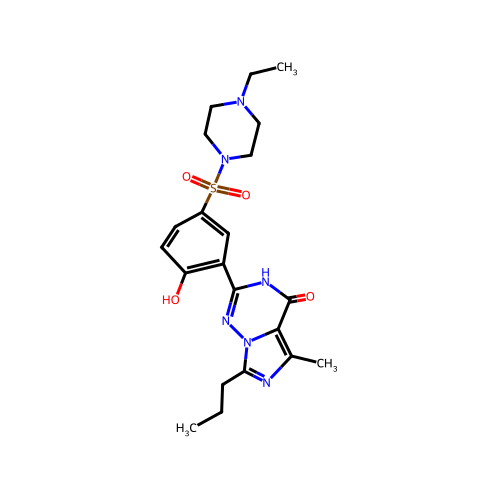 CCCc1nc(C)c2c(=O)[nH]c(-c3cc(S(=O)(=O)N4CCN(CC)CC4)ccc3O)nn12